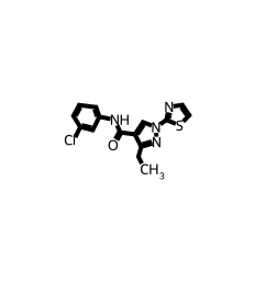 CCc1nn(-c2nccs2)cc1C(=O)Nc1cccc(Cl)c1